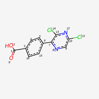 O=C(O)c1ccc(-c2ncc(Cl)nc2Cl)cc1